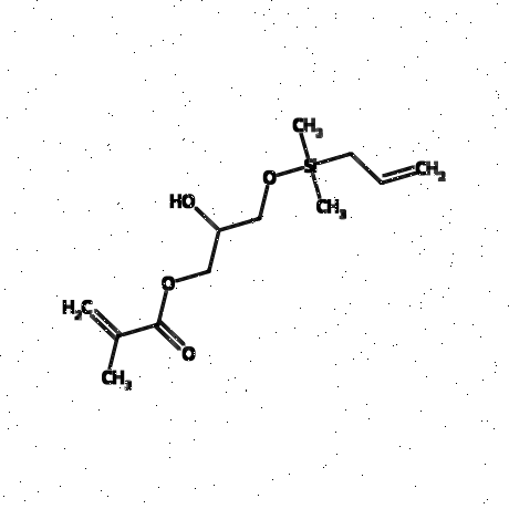 C=CC[Si](C)(C)OCC(O)COC(=O)C(=C)C